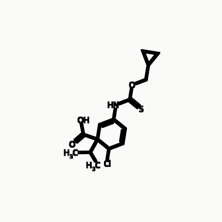 CC(C)C1(C(=O)O)C=C(NC(=S)OCC2CC2)C=CC1Cl